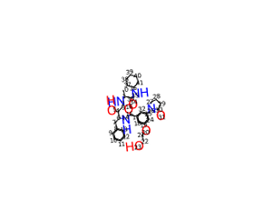 C[C@H](NC[C@@H](O)[C@H](Cc1ccccc1)NC(=O)c1cc(OCCO)cc(N2CCCC2=O)c1)C(=O)NC1CCCCC1